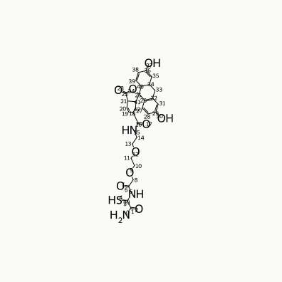 NC(=O)[C@@H](S)NC(=O)COCCOCCNC(=O)C1C=CC2C(=O)OC3(c4ccc(O)cc4CC4C=C(O)C=CC43)C2C1